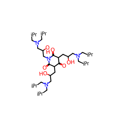 CC(C)CN(CC(C)C)CC(O)CC1C(=O)C(CC(O)CN(CC(C)C)CC(C)C)C(=O)N(CC(O)CN(CC(C)C)CC(C)C)C1=O